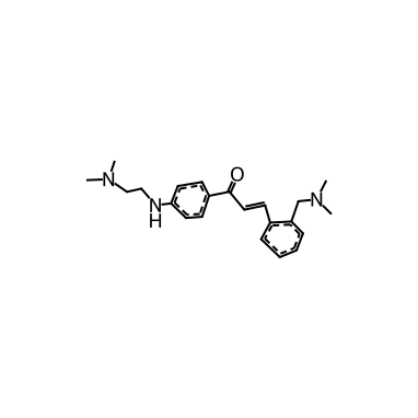 CN(C)CCNc1ccc(C(=O)C=Cc2ccccc2CN(C)C)cc1